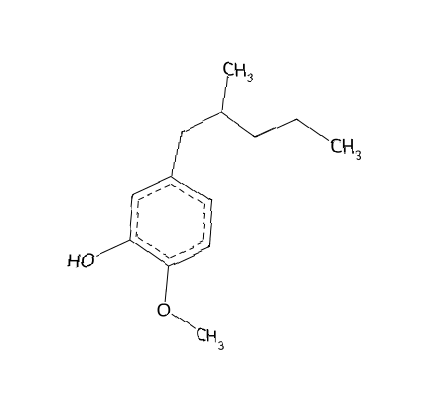 CCCC(C)Cc1ccc(OC)c(O)c1